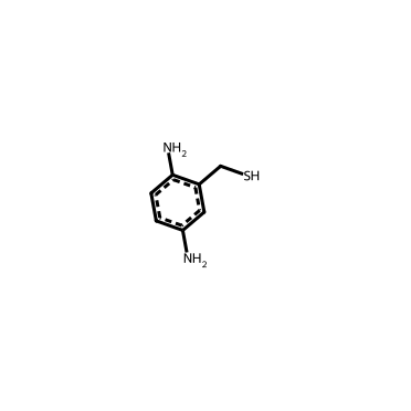 Nc1ccc(N)c(CS)c1